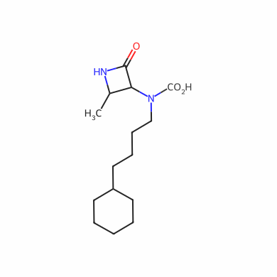 CC1NC(=O)C1N(CCCCC1CCCCC1)C(=O)O